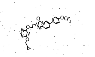 O=c1n(CCOc2nccc(OCC3CC3)n2)nc2ccc(-c3ccc(OC(F)(F)F)cc3)cn12